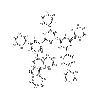 c1ccc(-c2ccc(-c3cc(-c4ccccc4)cc(-c4cc(-c5ccccc5)cc(-c5nc(-c6ccccc6)nc(-c6cc7oc8ccccc8c7c7ccccc67)n5)c4)c3)cc2)cc1